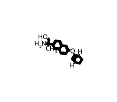 CC(N)(CO)c1ccc2cc(O[C@@H]3C[C@H]4CC[C@@H]3C4)ccc2c1